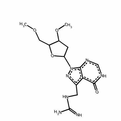 COCC1OC(n2nc(CNC(=N)N)c3c(=O)[nH]cnc32)CC1OC